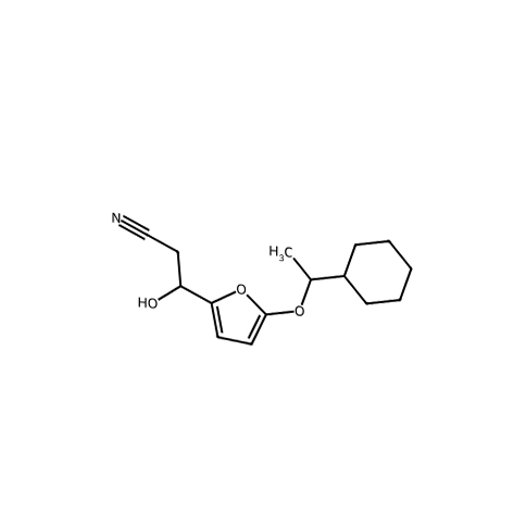 CC(Oc1ccc(C(O)CC#N)o1)C1CCCCC1